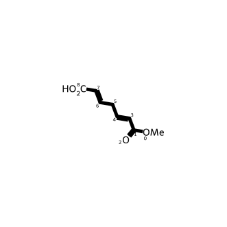 COC(=O)C=CCC=CC(=O)O